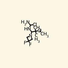 COC(C)(C)C(NC(N)Cl)N1CC(F)(F)C1